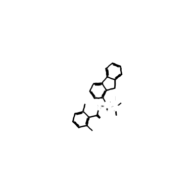 Cc1cccc(C)c1C(=O)[NH][Hf]([Cl])([Cl])([c]1cccc2c1Cc1ccccc1-2)[SiH](C)C